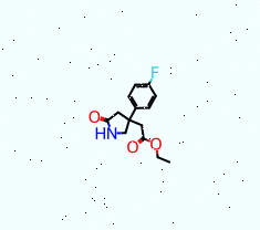 CCOC(=O)CC1(c2ccc(F)cc2)CNC(=O)C1